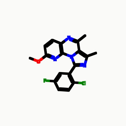 COc1ccc2nc(C)c3c(C)nc(-c4cc(F)ccc4Cl)n3c2n1